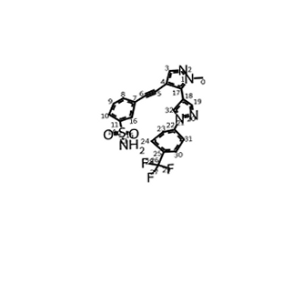 Cn1ncc(C#Cc2cccc(S(N)(=O)=O)c2)c1-c1cnn(-c2ccc(C(F)(F)F)cc2)c1